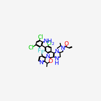 C=CC(=O)N1CC2CNc3c(c4cc(Cl)c(-c5c(N)c(Cl)cc(Cl)c5F)c(F)c4n(-c4c(C)ccnc4C(C)C)c3=O)N2CC1C